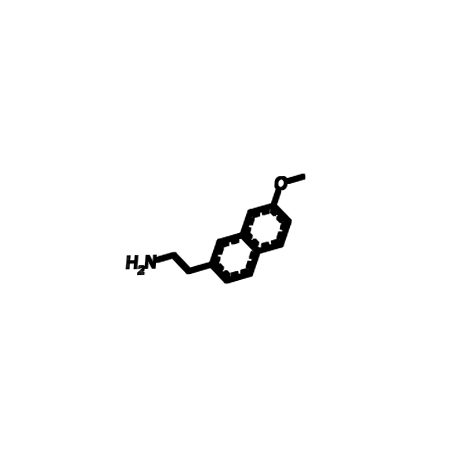 COc1ccc2ccc(CCN)cc2c1